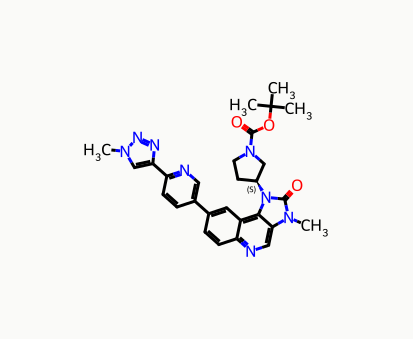 Cn1cc(-c2ccc(-c3ccc4ncc5c(c4c3)n([C@H]3CCN(C(=O)OC(C)(C)C)C3)c(=O)n5C)cn2)nn1